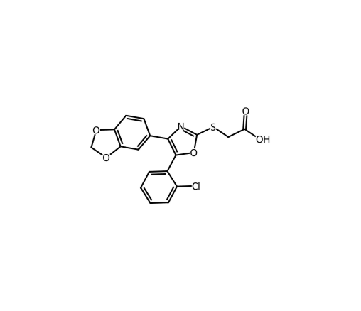 O=C(O)CSc1nc(-c2ccc3c(c2)OCO3)c(-c2ccccc2Cl)o1